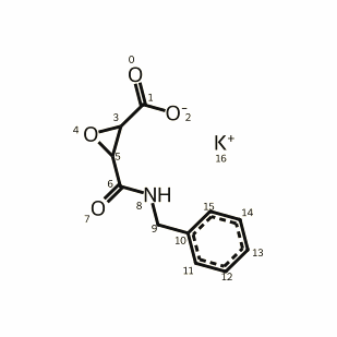 O=C([O-])C1OC1C(=O)NCc1ccccc1.[K+]